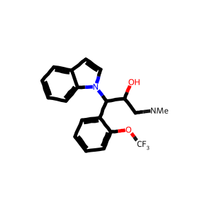 CNCC(O)C(c1ccccc1OC(F)(F)F)n1ccc2ccccc21